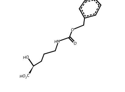 O=C(NCCC[C@H](O)C(=O)O)OCc1ccccc1